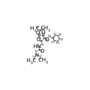 CCN(CC)CC(=O)NCC1OC2OC(C)(C)OC2C1OCc1ccccc1